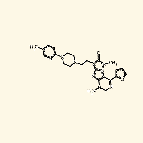 Cc1ccc(N2CCN(CCn3c(=O)n(C)n4c5c(nc34)N(N)CN=C5c3ccco3)CC2)nc1